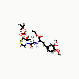 CCOC(=O)C(CCc1ccc(OC)c(OC)c1)N[C@@H](C)C(=O)N1CCSCC1(C)OC(=O)OC(C)(C)C